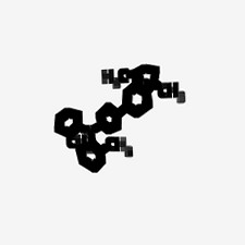 Cc1ccccc1N(c1ccc(-c2ccc3c(c2)C2(C)CCC3(C)O2)cc1)c1ccccc1C